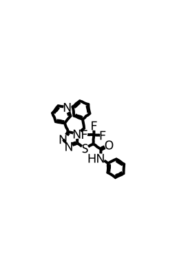 O=C(Nc1ccccc1)C(Sc1nnc(-c2cccnc2)n1Cc1ccccc1)C(F)(F)F